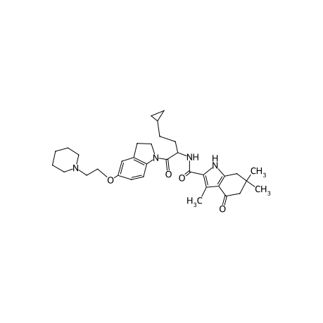 Cc1c(C(=O)NC(CCC2CC2)C(=O)N2CCc3cc(OCCN4CCCCC4)ccc32)[nH]c2c1C(=O)CC(C)(C)C2